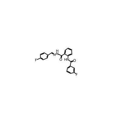 O=C(Nc1ccccc1C(=O)N/N=C/c1ccc(F)cc1)c1cccc(F)c1